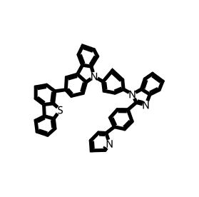 c1ccc(-c2ccc(-c3nc4ccccc4n3-c3ccc(-n4c5ccccc5c5cc(-c6cccc7c6sc6ccccc67)ccc54)cc3)cc2)nc1